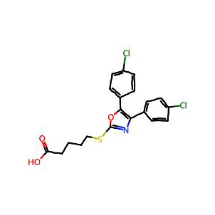 O=C(O)CCCCSc1nc(-c2ccc(Cl)cc2)c(-c2ccc(Cl)cc2)o1